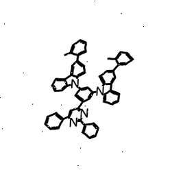 Cc1ccccc1-c1ccc2c(c1)c1ccccc1n2-c1cc(-c2cc(-c3ccccc3)nc(-c3ccccc3)n2)cc(-n2c3ccccc3c3cc(-c4ccccc4C)ccc32)c1